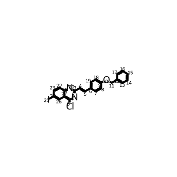 Clc1nc(/C=C/c2ccc(OCc3ccccc3)cc2)nc2ccc(I)cc12